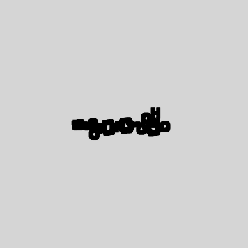 CC(C)(C)OC(=O)N1CCN(c2ccc(CO[C@H]3CCC(=O)NC3=O)cc2)CC1